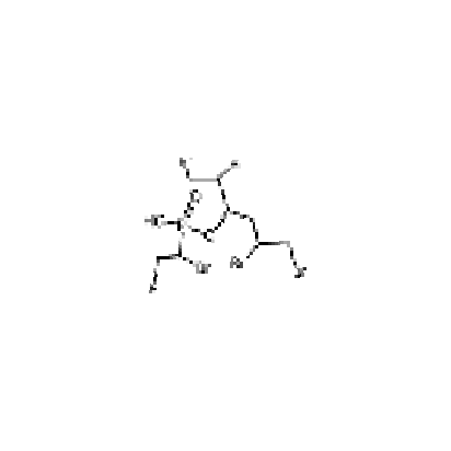 O=P(O)(OC(CC(Br)CBr)C(Br)CBr)C(Br)CBr